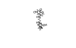 Oc1nc(NCCCN[C@@H]2CCOc3c(Cl)cc(Cl)cc32)nc2ccnn12